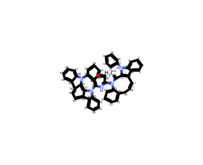 C=C1c2c(c3ccccc3n2-c2ccccc2)/C=C\Cc2ccccc2N1c1cccc(-n2c3ccccc3c3ccc4c5ccccc5n(-c5ccccc5)c4c32)n1